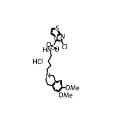 COc1cc2c(cc1OC)CN(CCCCNS(=O)(=O)c1c(Cl)nc3sccn13)CC2.Cl